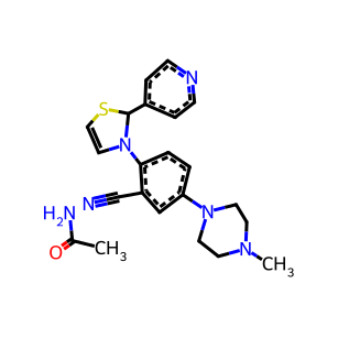 CC(N)=O.CN1CCN(c2ccc(N3C=CSC3c3ccncc3)c(C#N)c2)CC1